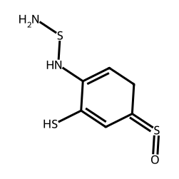 NSNC1=CCC(=S=O)C=C1S